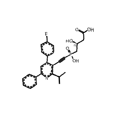 CC(C)c1nc(-c2ccccc2)cc(-c2ccc(F)cc2)c1C#CP(=O)(O)C[C@@H](O)CC(=O)O